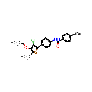 CC(C)(C)c1ccc(C(=O)Nc2ccc(-c3sc(C(=O)O)c(OCC(=O)O)c3Cl)cc2)cc1